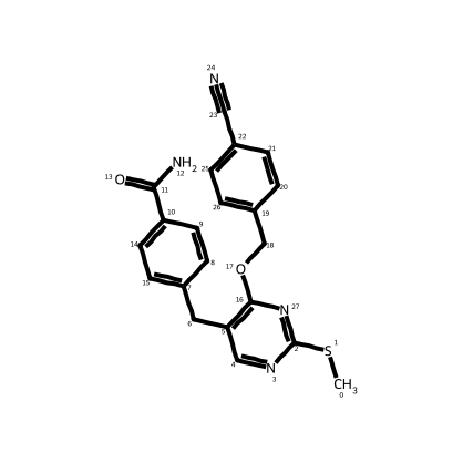 CSc1ncc(Cc2ccc(C(N)=O)cc2)c(OCc2ccc(C#N)cc2)n1